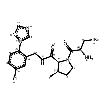 C[C@@H]1CCN(C(=O)[C@H](N)CC(C)(C)C)[C@@H]1C(=O)NCc1cc(Cl)ccc1-n1cnnn1